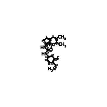 CC(C)N(C)Cc1csc(NC(=O)Nc2ccc(CN)c(F)c2)n1